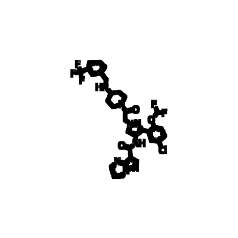 O=C(Nc1cn(CC(=O)N2CCC(NCc3cccc(C(F)(F)F)c3)CC2)nc1-c1cc(Cl)ccc1OC(F)F)c1cnn2cccnc12